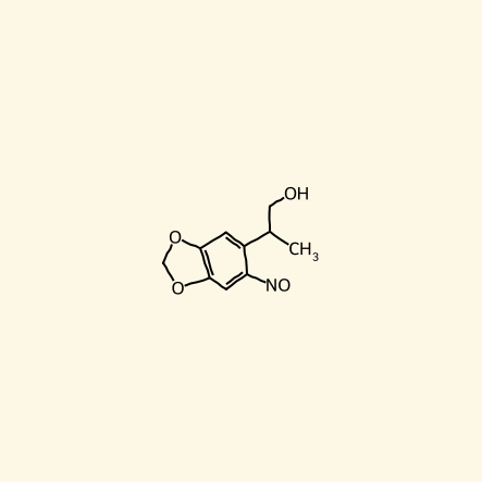 CC(CO)c1cc2c(cc1N=O)OCO2